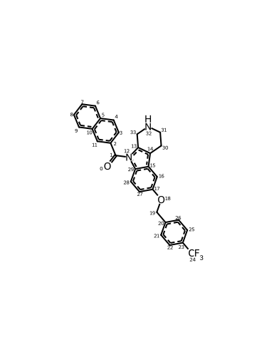 O=C(c1ccc2ccccc2c1)n1c2c(c3cc(OCc4ccc(C(F)(F)F)cc4)ccc31)CCNC2